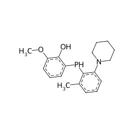 COc1cccc(Pc2c(C)cccc2N2CCCCC2)c1O